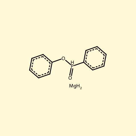 O=[PH](Oc1ccccc1)c1ccccc1.[MgH2]